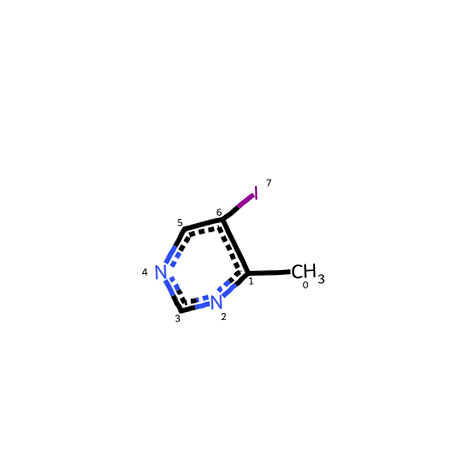 Cc1ncncc1I